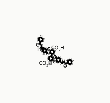 O=C(C=Cc1ccc(Oc2c(-c3ccc(C(=O)O)c(C(=O)O)c3Oc3ccc(C=CC(=O)c4ccccc4)cc3)ccc(C(=O)O)c2C(=O)O)cc1)c1ccccc1